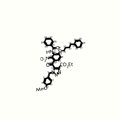 CCOC(=O)c1nnn(Cc2ccc(OC)cc2)c1C(=O)c1ccc(OCCCCc2ccccc2)c(NC(=O)c2ccccc2)c1[N+](=O)[O-]